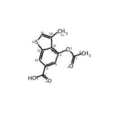 CC(=O)Oc1cc(C(=O)O)cc2scc(C)c12